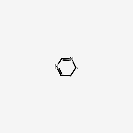 [C]1CC=NC=N1